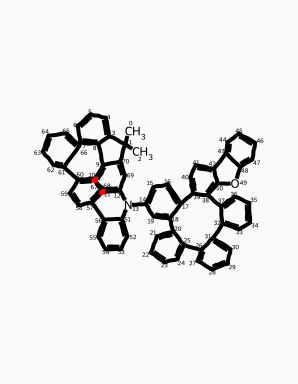 CC1(C)c2ccccc2-c2ccc(N(c3ccc4c(c3)c3ccccc3c3ccccc3c3ccccc3c3c4ccc4c5ccccc5oc43)c3ccccc3-c3ccc(-c4ccccc4)cc3)cc21